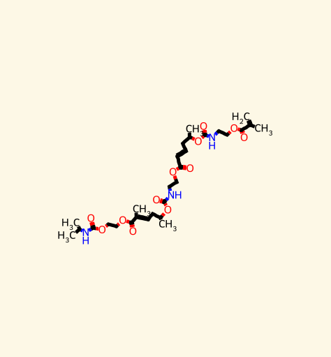 C=C(C)C(=O)OCCNC(=O)OC(C)C/C=C/C(=O)OCCNC(=O)OC(C)C/C=C(\C)C(=O)OCCOC(=O)NC(C)C